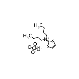 CCCC[N+](CCCC)=c1sccs1.[O-][Cl+3]([O-])([O-])[O-]